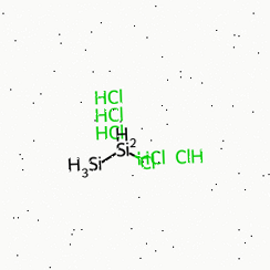 Cl.Cl.Cl.Cl.Cl.[SiH3][SiH2]Cl